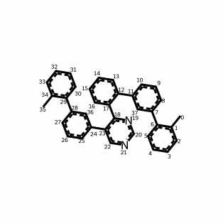 Cc1ccccc1-c1cccc(-c2ccccc2-c2ncncc2-c2cccc(-c3ccccc3C)c2)c1